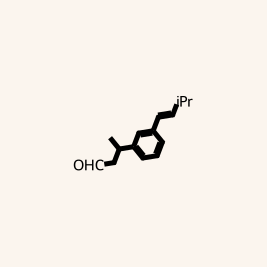 CC(C)C=Cc1cccc(C(C)CC=O)c1